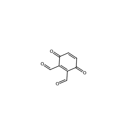 O=CC1=C(C=O)C(=O)C=CC1=O